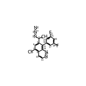 CC(N=[N+]=[N-])c1cc(Cl)c2ccnnc2c1-c1cc(F)cc(F)c1